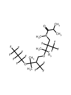 CC(C)C(=O)N(C)CC(F)(C(F)(F)F)C(C)(C)OCC(C(F)(F)F)C(C)(C)OC(F)(F)C(F)(F)C(F)(F)F